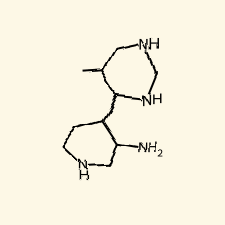 CC1CNCNC1C1CCNCC1N